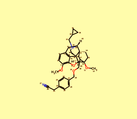 COc1ccc2c3c1O[C@H]1[C@@]4(OC)CC[C@@]5(C[C@@H]4COCc4ccc(CC#N)cc4)[C@@H](C2)N(CC2CC2)CC[C@]315